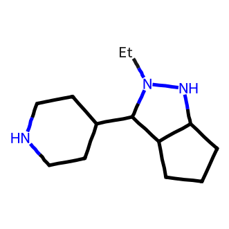 CCN1NC2CCCC2C1C1CCNCC1